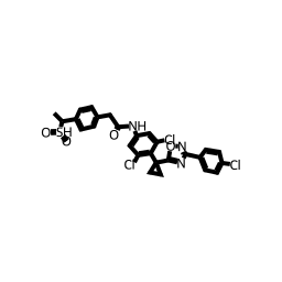 CC(c1ccc(CC(=O)Nc2cc(Cl)c(C3(c4nc(-c5ccc(Cl)cc5)no4)CC3)c(Cl)c2)cc1)[SH](=O)=O